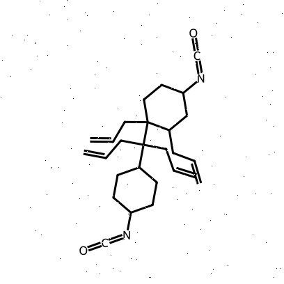 C=CCC1CC(N=C=O)CCC1(CC=C)C(CC=C)(CC=C)C1CCC(N=C=O)CC1